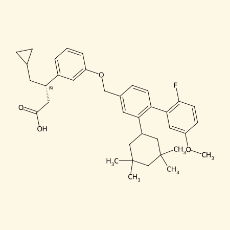 COc1ccc(F)c(-c2ccc(COc3cccc([C@H](CC(=O)O)CC4CC4)c3)cc2C2CC(C)(C)CC(C)(C)C2)c1